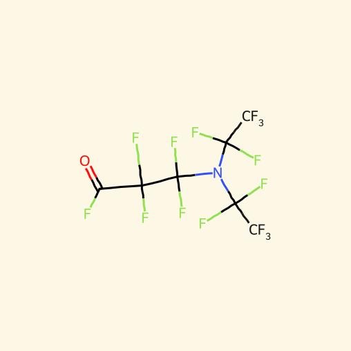 O=C(F)C(F)(F)C(F)(F)N(C(F)(F)C(F)(F)F)C(F)(F)C(F)(F)F